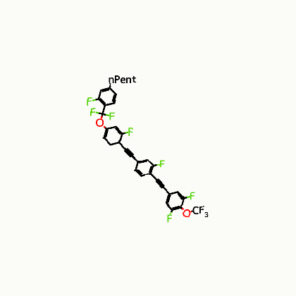 CCCCCc1ccc(C(F)(F)OC2=CCC(C#Cc3ccc(C#Cc4cc(F)c(OC(F)(F)F)c(F)c4)c(F)c3)C(F)=C2)c(F)c1